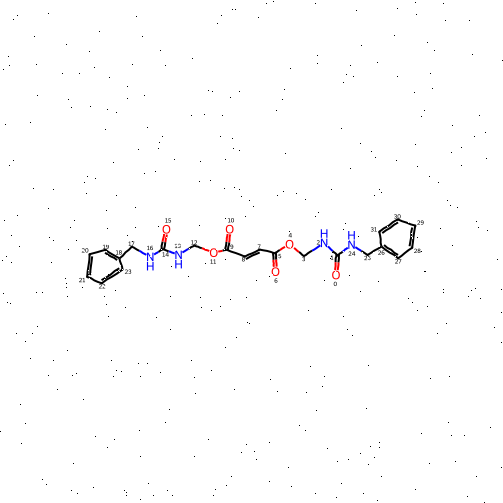 O=C(NCOC(=O)/C=C/C(=O)OCNC(=O)NCc1ccccc1)NCc1ccccc1